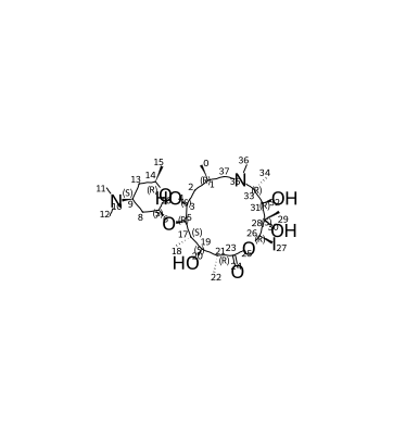 C[C@@H]1C[C@H](O)[C@H](O[C@H]2C[C@@H](N(C)C)C[C@@H](C)O2)[C@@H](C)[C@H](O)[C@@H](C)C(=O)O[C@H](I)[C@@](C)(O)[C@H](O)[C@@H](C)N(C)C1